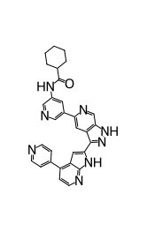 O=C(Nc1cncc(-c2cc3c(-c4cc5c(-c6ccncc6)ccnc5[nH]4)n[nH]c3cn2)c1)C1CCCCC1